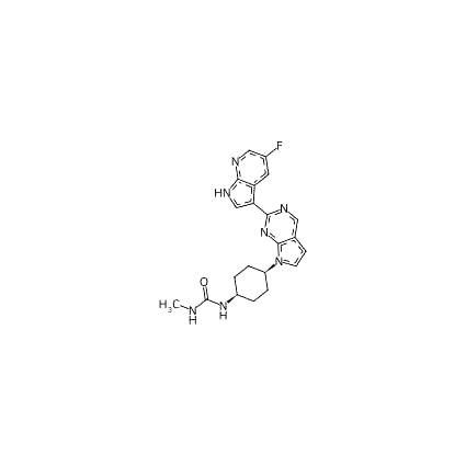 CNC(=O)N[C@H]1CC[C@@H](n2ccc3cnc(-c4c[nH]c5ncc(F)cc45)nc32)CC1